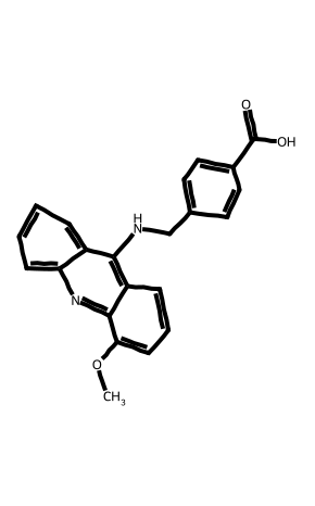 COc1cccc2c(NCc3ccc(C(=O)O)cc3)c3ccccc3nc12